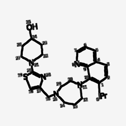 CC(C)c1ccc2cccnc2c1N1CCCN(Cc2csc(N3CCC(O)CC3)n2)CC1